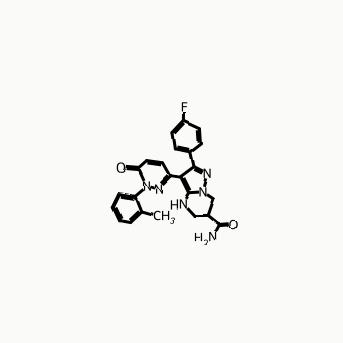 Cc1ccccc1-n1nc(-c2c(-c3ccc(F)cc3)nn3c2NCC(C(N)=O)C3)ccc1=O